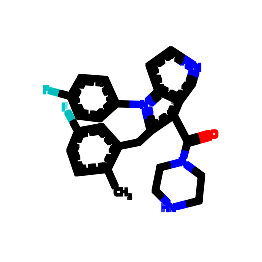 Cc1ccc(F)cc1Cc1c(C(=O)N2CCNCC2)c2cnccc2n1-c1ccc(F)cc1